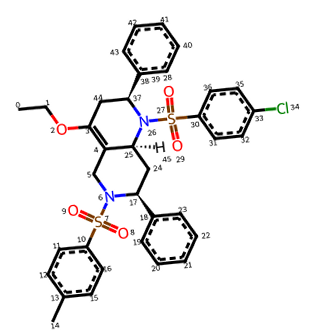 CCOC1=C2CN(S(=O)(=O)c3ccc(C)cc3)[C@H](c3ccccc3)C[C@@H]2N(S(=O)(=O)c2ccc(Cl)cc2)[C@H](c2ccccc2)C1